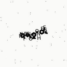 CCO[C@]1(C(F)(F)F)CC[C@@H](NC(=O)[C@H]2CCN(C(=O)c3cc(-c4cc(C)ncc4F)[nH]n3)C3(CC3)C2)CC1